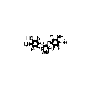 Nc1c(O)c(F)c(Oc2cc(Oc3c(F)c(O)c(N)c(F)c3F)ncn2)c(F)c1F